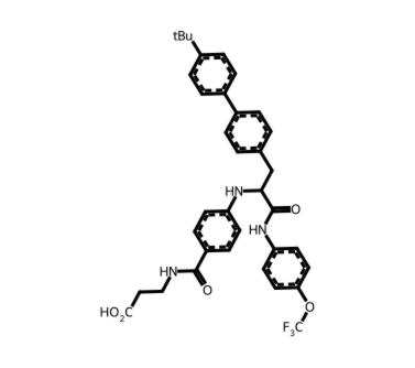 CC(C)(C)c1ccc(-c2ccc(CC(Nc3ccc(C(=O)NCCC(=O)O)cc3)C(=O)Nc3ccc(OC(F)(F)F)cc3)cc2)cc1